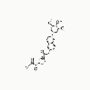 COc1cc(-c2ccc3cc(CC(=O)N4CCC(C(=O)NC5CC5)C4)ccc3c2)cc(OC)c1OC